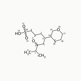 CC(C)C(=O)CC(CCCS(=O)(=O)O)C1COCCS1